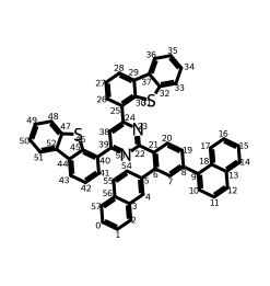 c1ccc2cc(-c3cc(-c4cccc5ccccc45)ccc3-c3nc(-c4cccc5c4sc4ccccc45)cc(-c4cccc5c4sc4ccccc45)n3)ccc2c1